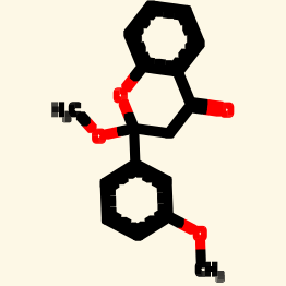 COc1cccc(C2(OC)CC(=O)c3ccccc3O2)c1